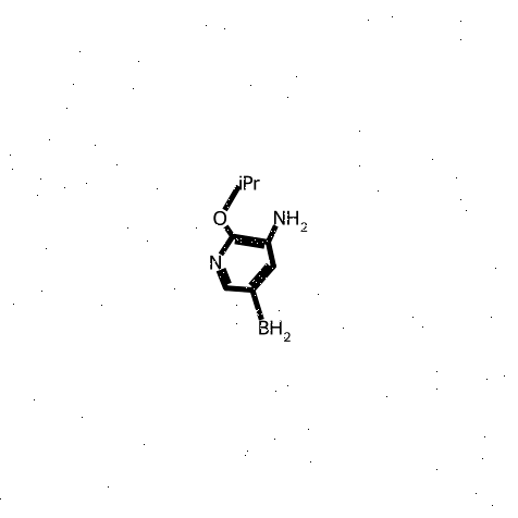 Bc1cnc(OC(C)C)c(N)c1